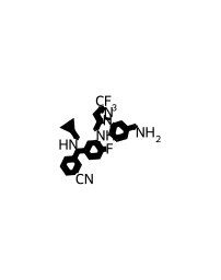 N#Cc1cccc([C@@H](NCC2CC2)c2ccc(F)c(NCc3cc(C(F)(F)F)nn3-c3cccc(CN)c3)c2)c1